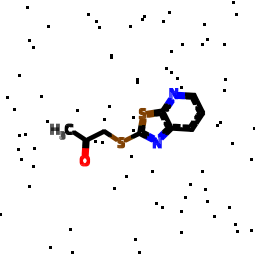 CC(=O)CSc1nc2cccnc2s1